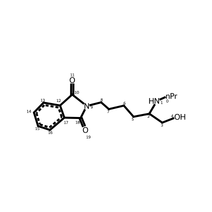 CCCNC(CO)CCCCN1C(=O)c2ccccc2C1=O